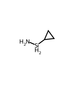 N[SiH2]C1CC1